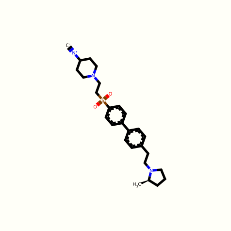 [C-]#[N+]C1CCN(CCS(=O)(=O)c2ccc(-c3ccc(CCN4CCC[C@H]4C)cc3)cc2)CC1